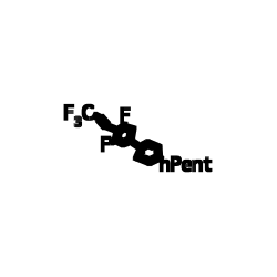 CCCCCc1ccc(-c2cc(F)c(C#CC(F)(F)F)c(F)c2)cc1